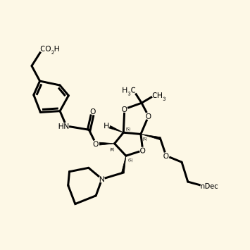 CCCCCCCCCCCCOC[C@@]12O[C@@H](CN3CCCCC3)[C@@H](OC(=O)Nc3ccc(CC(=O)O)cc3)[C@@H]1OC(C)(C)O2